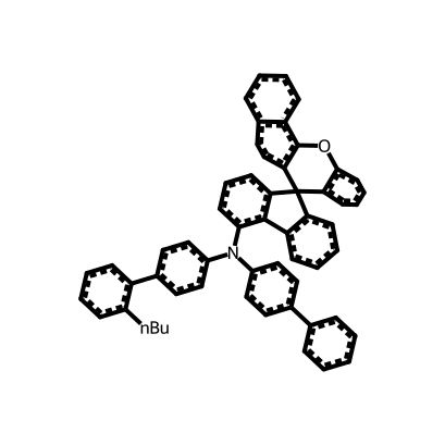 CCCCc1ccccc1-c1ccc(N(c2ccc(-c3ccccc3)cc2)c2cccc3c2-c2ccccc2C32c3ccccc3Oc3c2ccc2ccccc32)cc1